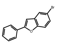 Brc1ccc2oc(-c3ccccc3)cc2c1